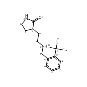 O=C1NCCN1CCNCc1ccccc1C(F)(F)F